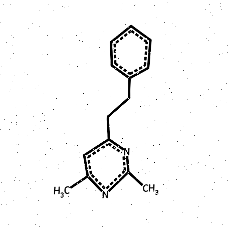 Cc1cc(CCc2ccccc2)nc(C)n1